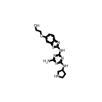 Nc1nc(Nc2nc3ccc(OCCO)cc3s2)nc(NC2CCNC2)n1